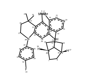 CNc1nc(NC2[C@@H]3CC[C@H]2CN(c2cnnc(OC)c2)C3)nc2c1C(C)(C)CCN2c1ccc(F)cc1